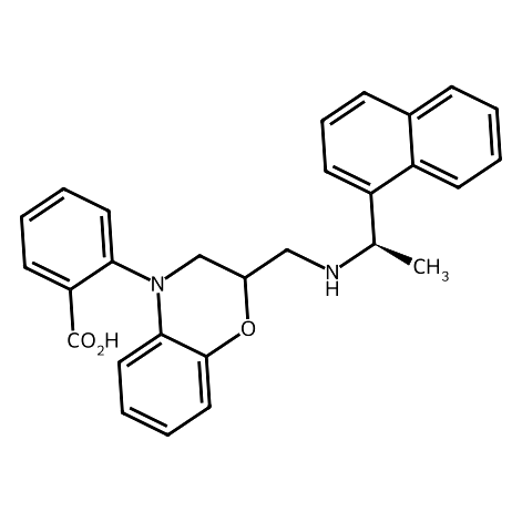 C[C@@H](NCC1CN(c2ccccc2C(=O)O)c2ccccc2O1)c1cccc2ccccc12